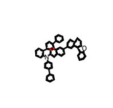 c1ccc(-c2ccc(-c3ccccc3N(c3ccc(-c4ccccc4)cc3)c3ccc4cc(-c5ccc6ccc7oc8ccccc8c7c6c5)ccc4c3)cc2)cc1